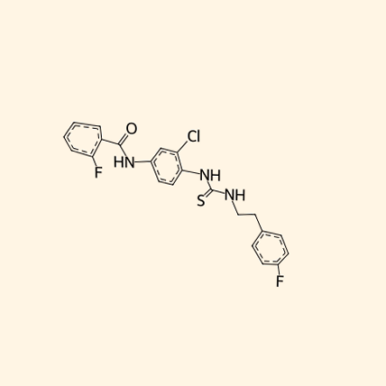 O=C(Nc1ccc(NC(=S)NCCc2ccc(F)cc2)c(Cl)c1)c1ccccc1F